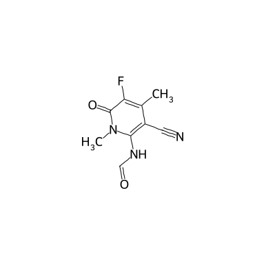 Cc1c(C#N)c(NC=O)n(C)c(=O)c1F